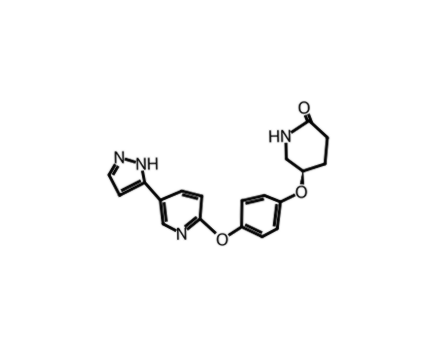 O=C1CC[C@@H](Oc2ccc(Oc3ccc(-c4ccn[nH]4)cn3)cc2)CN1